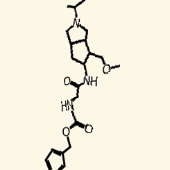 COCC1C(NC(=O)CNC(=O)OCc2ccccc2)CC2CN(C(C)C)CC21